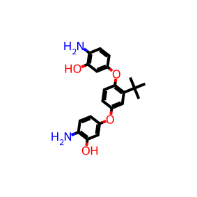 CC(C)(C)c1cc(Oc2ccc(N)c(O)c2)ccc1Oc1ccc(N)c(O)c1